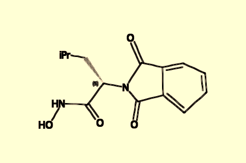 CC(C)C[C@@H](C(=O)NO)N1C(=O)c2ccccc2C1=O